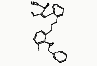 CCC(=Cc1ccccc1CCCc1cccc(C)c1OCc1ccccc1)C(=O)O